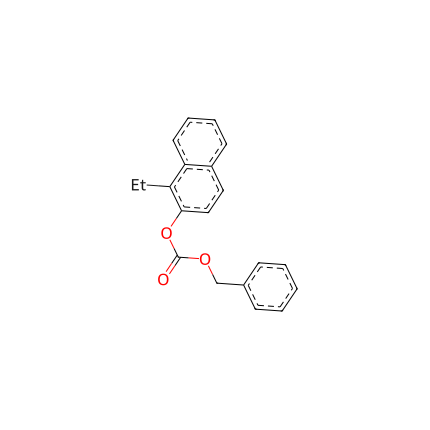 CCc1c(OC(=O)OCc2ccccc2)ccc2ccccc12